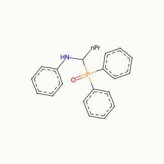 CCCC(Nc1ccccc1)P(=O)(c1ccccc1)c1ccccc1